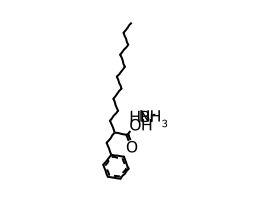 Br.CCCCCCCCCCC(Cc1ccccc1)C(=O)O.N